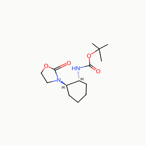 CC(C)(C)OC(=O)N[C@@H]1CCCC[C@H]1N1CCOC1=O